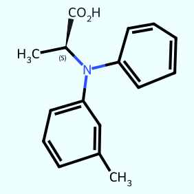 Cc1cccc(N(c2ccccc2)[C@@H](C)C(=O)O)c1